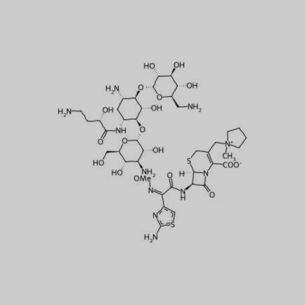 CO/N=C(\C(=O)N[C@@H]1C(=O)N2C(C(=O)[O-])=C(C[N+]3(C)CCCC3)CS[C@H]12)c1csc(N)n1.NCC[C@H](O)C(=O)N[C@@H]1C[C@H](N)[C@@H](O[C@H]2O[C@H](CN)[C@@H](O)[C@H](O)[C@H]2O)[C@H](O)[C@H]1O[C@H]1O[C@H](CO)[C@@H](O)[C@H](N)[C@H]1O